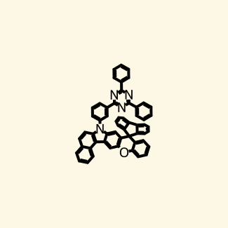 c1ccc(-c2nc(-c3ccccc3)nc(-c3cccc(-n4c5cc6c(cc5c5c7ccccc7ccc54)Oc4ccccc4C64c5ccccc5-c5ccccc54)c3)n2)cc1